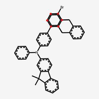 CC1(C)c2ccccc2-c2ccc(N(c3ccccc3)c3ccc(-c4ccc(Br)c5c4C4c6ccccc6C5c5ccccc54)cc3)cc21